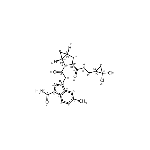 Cc1ccc2c(C(N)=O)nn(CC(=O)N3[C@@H]4C[C@@H]4C[C@H]3C(=O)NC[C@H]3CC3(Cl)Cl)c2c1